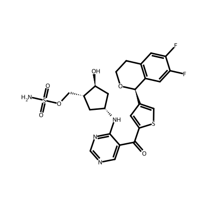 NS(=O)(=O)OC[C@H]1C[C@@H](Nc2ncncc2C(=O)c2cc([C@H]3OCCc4cc(F)c(F)cc43)cs2)C[C@@H]1O